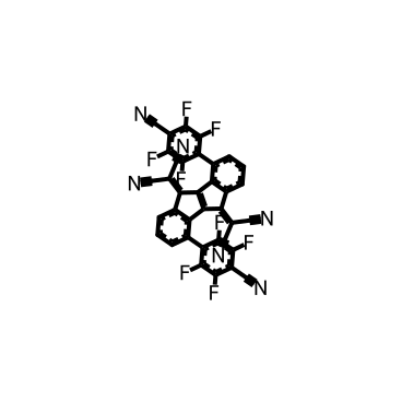 N#CC(C#N)=C1C2=C(C(=C(C#N)C#N)c3cccc(-c4c(F)c(F)c(C#N)c(F)c4F)c32)c2c1cccc2-c1c(F)c(F)c(C#N)c(F)c1F